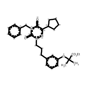 CCOC(=O)C(C)(C)Oc1cccc(CCCn2nc(C3CCCC3)c(=O)n(Cc3ccccc3)c2=O)c1